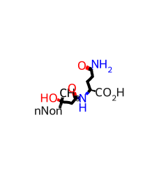 CCCCCCCCCC(C)(O)CC(=O)N[C@@H](CCC(N)=O)C(=O)O